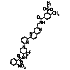 Cc1ccc(C(=O)NCc2cc3nc(-c4cccc(N5CCC(NS(=O)(=O)c6ccccc6[N+](=O)[O-])C(F)(F)C5)n4)ccc3cn2)cc1S(C)(=O)=O